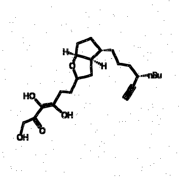 C#C[C@@H](CCCC)CCC[C@H]1CC[C@@H]2OC(CCC(O)=C(O)C(=O)CO)C[C@H]12